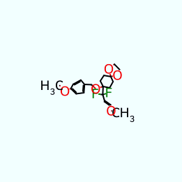 COC=CC(F)(F)C1(OCc2ccc(OC)cc2)CCC2(CC1)OCCO2